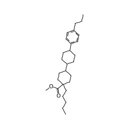 CCCCCC1(C(=O)OC)CCC(C2CCC(c3ccc(CCC)cc3)CC2)CC1